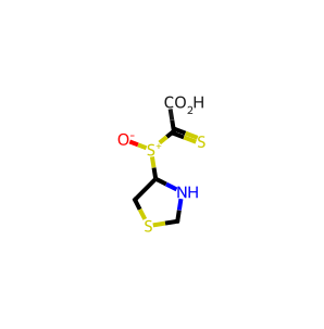 O=C(O)C(=S)[S+]([O-])C1CSCN1